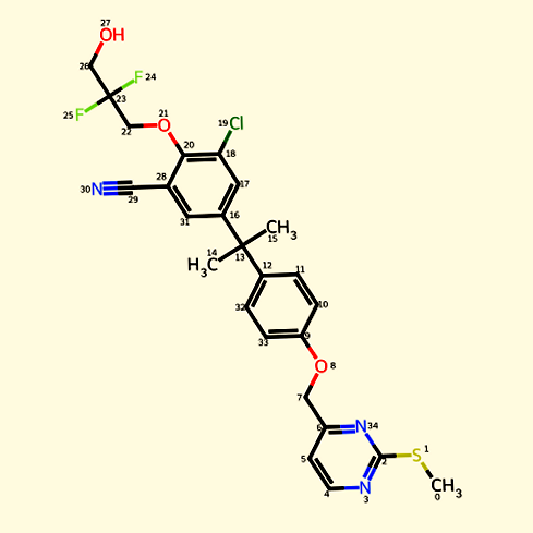 CSc1nccc(COc2ccc(C(C)(C)c3cc(Cl)c(OCC(F)(F)CO)c(C#N)c3)cc2)n1